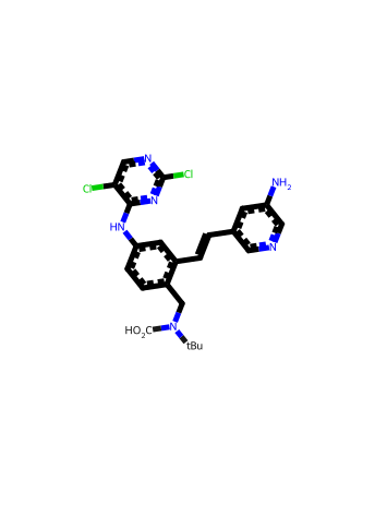 CC(C)(C)N(Cc1ccc(Nc2nc(Cl)ncc2Cl)cc1C=Cc1cncc(N)c1)C(=O)O